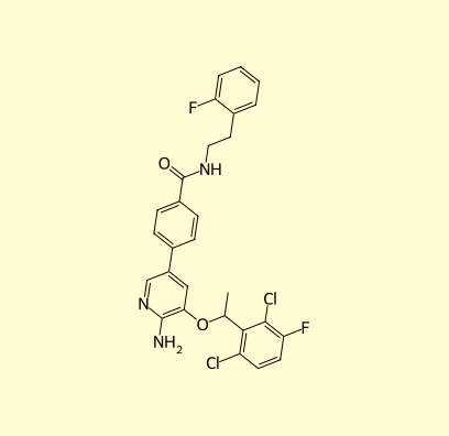 CC(Oc1cc(-c2ccc(C(=O)NCCc3ccccc3F)cc2)cnc1N)c1c(Cl)ccc(F)c1Cl